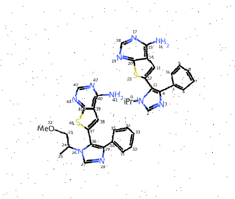 CC(C)n1cnc(-c2ccccc2)c1-c1cc2c(N)ncnc2s1.COCC(C)n1cnc(-c2ccccc2)c1-c1cc2c(N)ncnc2s1